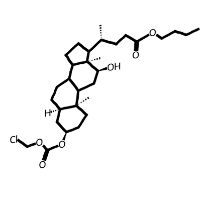 CCCCOC(=O)CC[C@@H](C)C1CCC2C3CC[C@@H]4C[C@H](OC(=O)OCCl)CC[C@]4(C)C3C[C@H](O)[C@@]21C